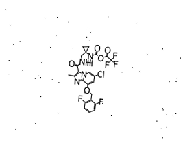 Cc1nc2c(OCc3c(F)cccc3F)cc(Cl)cn2c1C(=O)NCC1(NC(=O)OC(=O)C(F)(F)F)CC1